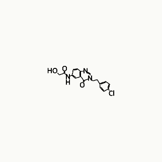 O=C(CO)Nc1ccc2ncn(CCc3ccc(Cl)cc3)c(=O)c2c1